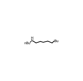 CCCCNCCCCCC(C)CC